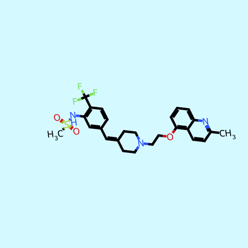 Cc1ccc2c(OCCN3CCC(=Cc4ccc(C(F)(F)F)c(NS(C)(=O)=O)c4)CC3)cccc2n1